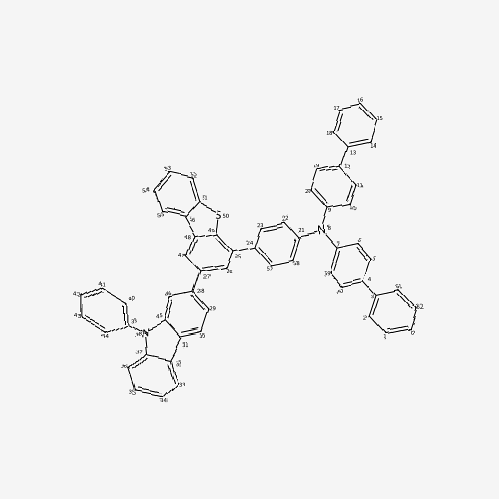 c1ccc(-c2ccc(N(c3ccc(-c4ccccc4)cc3)c3ccc(-c4cc(-c5ccc6c7ccccc7n(-c7ccccc7)c6c5)cc5c4sc4ccccc45)cc3)cc2)cc1